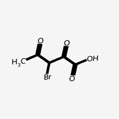 CC(=O)C(Br)C(=O)C(=O)O